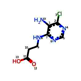 Nc1c(Cl)ncnc1NCCC(=O)O